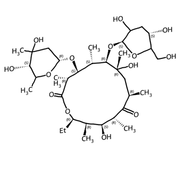 CC[C@H]1OC(=O)[C@H](C)[C@@H](O[C@H]2CC(C)(O)[C@@H](O)C(C)O2)[C@H](C)[C@@H](O[C@@H]2OC(CO)[C@@H](O)CC2O)[C@](C)(O)C[C@@H](C)C(=O)[C@H](C)[C@@H](O)[C@H]1C